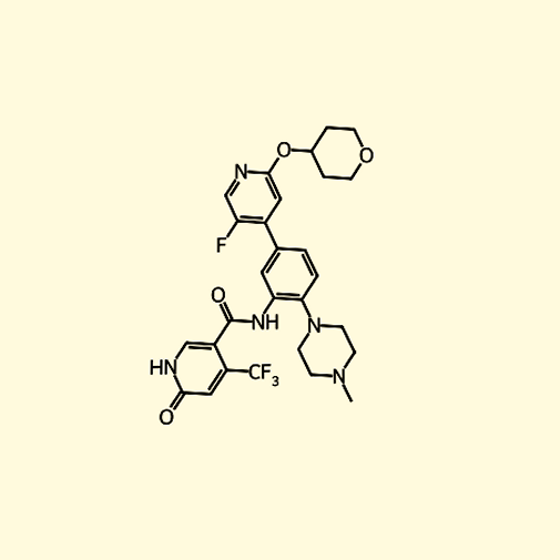 CN1CCN(c2ccc(-c3cc(OC4CCOCC4)ncc3F)cc2NC(=O)c2c[nH]c(=O)cc2C(F)(F)F)CC1